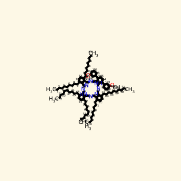 CCCCCCCCCCc1ccc(CCCCCCCCCC)c2c1-c1nc-2nc2[nH]c(nc3nc(nc4[nH]c(n1)c1c(CCCCCCCCCC)ccc(CCCCCCCCCC)c41)-c1c(CCCCCCCCCC)ccc(CCCCCCCCCC)c1-3)c1c(-c3cccc(OC)c3)ccc(-c3cccc(OC)c3)c21